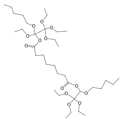 CCCCCOC(OC(=O)CCCCCCC(=O)OC(OCC)(OCCCCC)C(OCC)(OCC)OCC)C(OCC)(OCC)OCC